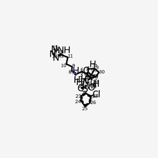 CC1(C)[C@H]2C[C@H](C/C=C\CCCc3nnn[nH]3)[C@@H](NS(=O)(=O)c3ccccc3Cl)[C@@H]1C2